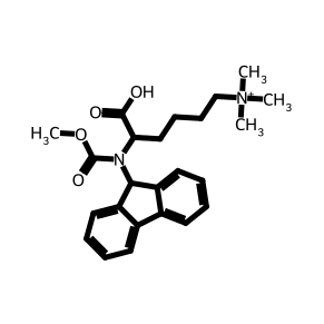 COC(=O)N(C(CCCC[N+](C)(C)C)C(=O)O)C1c2ccccc2-c2ccccc21